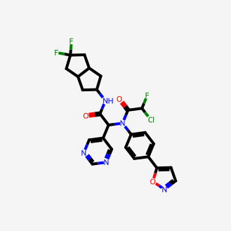 O=C(NC1CC2CC(F)(F)CC2C1)C(c1cncnc1)N(C(=O)C(F)Cl)c1ccc(-c2ccno2)cc1